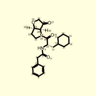 O=C(Cc1ccccc1)N[C@@H](CC1CCCCC1)C(=O)N1CC[C@H]2OCC(=O)[C@H]21